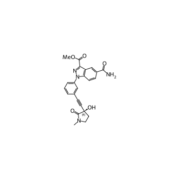 COC(=O)c1nn(-c2cccc(C#C[C@]3(O)CCN(C)C3=O)c2)c2ccc(C(N)=O)cc12